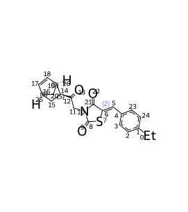 CCc1ccc(/C=C2\SC(=O)N(CC(=O)[C@H]3C[C@H]4C=C[C@@H]3C4)C2=O)cc1